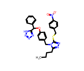 CCCCc1nnc(SCc2ccc([N+](=O)[O-])cc2)n1Cc1ccc(OC(c2ccccc2)c2nnn[nH]2)cc1